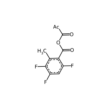 CC(=O)C(=O)OC(=O)c1c(F)cc(F)c(F)c1C